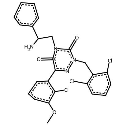 COc1cccc(-c2nn(Cc3c(Cl)cccc3Cl)c(=O)n(CC(N)c3ccccc3)c2=O)c1Cl